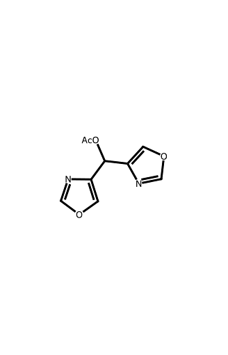 CC(=O)OC(c1cocn1)c1cocn1